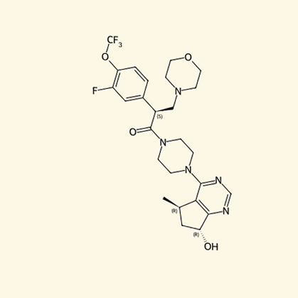 C[C@@H]1C[C@@H](O)c2ncnc(N3CCN(C(=O)[C@H](CN4CCOCC4)c4ccc(OC(F)(F)F)c(F)c4)CC3)c21